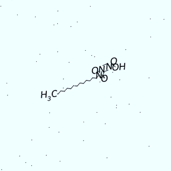 CCCCCCCCCCCCCCN1C(=O)C2CN(C(=O)O)CCN2C1=O